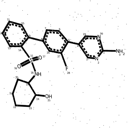 Nc1ncc(-c2ccc(-c3ccccc3S(=O)(=O)NC3CCCCC3O)cc2F)cn1